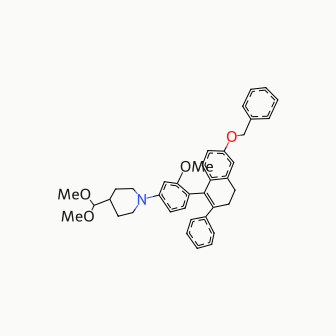 COc1cc(N2CCC(C(OC)OC)CC2)ccc1C1=C(c2ccccc2)CCc2cc(OCc3ccccc3)ccc21